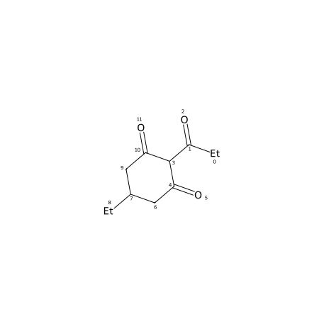 CCC(=O)C1C(=O)CC(CC)CC1=O